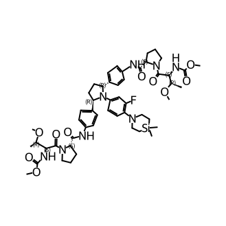 COC(=O)N[C@H](C(=O)N1CCC[C@H]1C(=O)Nc1ccc([C@H]2CC[C@H](c3ccc(NC(=O)[C@@H]4CCCN4C(=O)[C@@H](NC(=O)OC)[C@@H](C)OC)cc3)N2c2ccc(N3CC[Si](C)(C)CC3)c(F)c2)cc1)[C@@H](C)OC